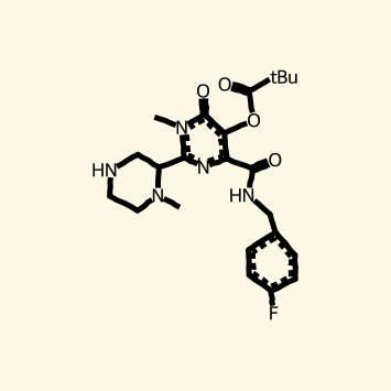 CN1CCNCC1c1nc(C(=O)NCc2ccc(F)cc2)c(OC(=O)C(C)(C)C)c(=O)n1C